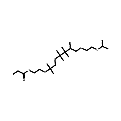 CCC(=O)OCCOC(C)(C)COC(C)(C)C(C)(C)C(C)COCCOC(C)C